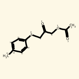 CC(=O)OCC(=O)CSc1ccc(C)cc1